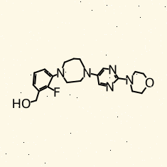 OCc1cccc(N2CCCN(c3cnc(N4CCOCC4)nc3)CC2)c1F